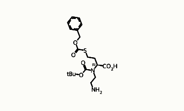 CC(C)(C)OC(=O)N(CCN)[C@@H](CCSC(=O)OCc1ccccc1)C(=O)O